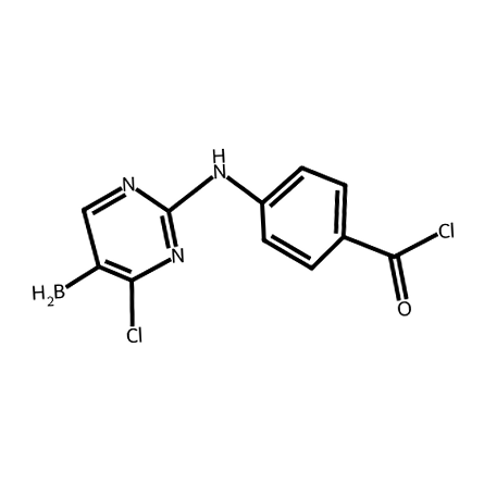 Bc1cnc(Nc2ccc(C(=O)Cl)cc2)nc1Cl